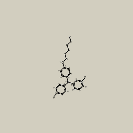 CCCCCCOc1ccc(N(c2ccc(C)cc2)c2ccnc(C)c2)cc1